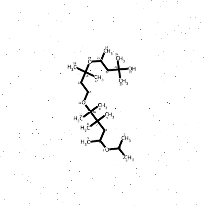 CC(C)OC(C)CC(C)(C)C(C)(C)OCCC(C)(C)OC(C)CC(C)(C)O